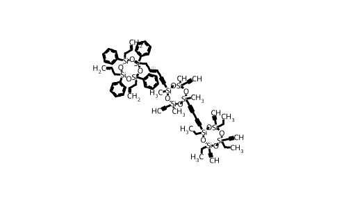 C#C[Si]1(C)O[Si](C)(C#CC#C[Si]2(CC)O[Si](C#C)(CC)O[Si](C#C)(CC)O[Si](C#C)(CC)O2)O[Si](C)(C#C)O[Si](C)(C#C/C=C/C[Si]2(c3ccccc3)O[Si](CC=C)(c3ccccc3)O[Si](CC=C)(c3ccccc3)O[Si](CC=C)(c3ccccc3)O2)O1